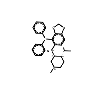 CC(C)[C@@H]1CC[C@@H](C)C[C@H]1[PH](=O)c1ccc2c(c1P(c1ccccc1)c1ccccc1)OCO2